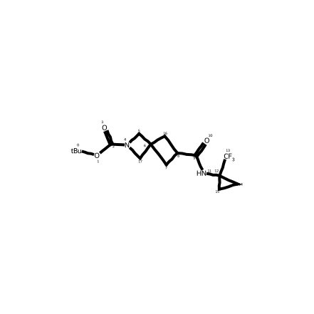 CC(C)(C)OC(=O)N1CC2(CC(C(=O)NC3(C(F)(F)F)CC3)C2)C1